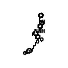 COc1cc2c(Nc3ccc4c(cnn4Cc4ccccc4)c3)ncnc2cc1OCCCCN1CC[S+]([O-])CC1